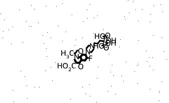 CC1COc2c(N3CCN(CCCC(P(=O)(O)O)P(=O)(O)O)CC3)c(F)cc3c(=O)c(C(=O)O)cn1c23